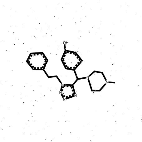 CN1CCN(C(c2ccc(O)cc2)c2nnnn2CCc2ccccc2)CC1